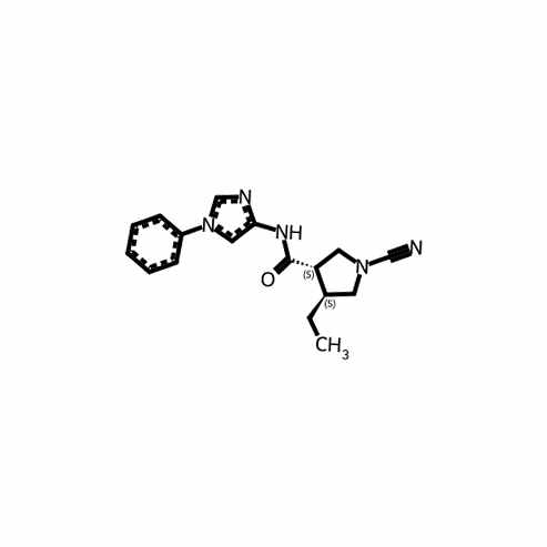 CC[C@@H]1CN(C#N)C[C@H]1C(=O)Nc1cn(-c2ccccc2)cn1